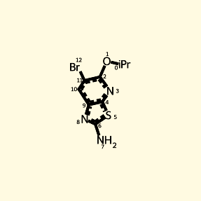 CC(C)Oc1nc2sc(N)nc2cc1Br